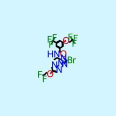 CC(NC(=O)c1cc(OCC(F)(F)F)cc(C(F)(F)F)c1)c1nc(Br)nn1-c1ncc(OCC(F)F)cn1